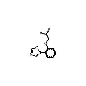 FC(F)COc1ccccc1N1CN=CO1